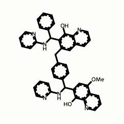 COc1cc(C(Nc2ccccn2)c2ccc(Cc3cc4cccnc4c(O)c3C(Nc3ccccn3)c3ccccc3)cc2)c(O)c2ncccc12